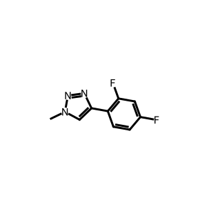 Cn1cc(-c2ccc(F)cc2F)nn1